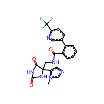 Cn1cncc1C1(CNC(=O)c2ccccc2-c2ccc(C(F)(F)F)nc2)NC(=O)NC1=O